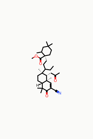 CCC(CC[C@@]1(C(=O)OC)CCC(C)(C)CC1C)[C@]1(C)CC[C@H]2C(C)(C)C(=O)C(C#N)=C[C@]2(C)[C@H]1CC(C)=O